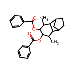 CC1C(OC(=O)c2ccccc2)C(OC(=O)c2ccccc2)C(C)C2C3CCC(C3)C12